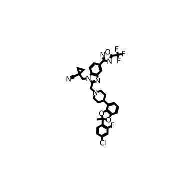 CC1(c2ccc(Cl)cc2F)Oc2cccc(C3CCN(Cc4nc5cc(-c6noc(C(F)(F)F)n6)ccc5n4CC4(C#N)CC4)CC3)c2O1